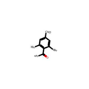 CCCC(=O)c1c(C(C)(C)C)cc(C=O)cc1C(C)(C)C